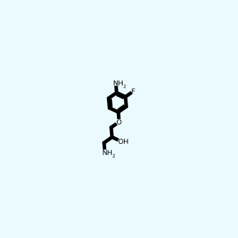 NCC(O)COc1ccc(N)c(F)c1